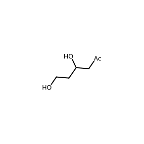 CC(=O)CC(O)CCO